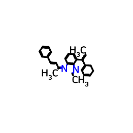 C/C=C(/C1=CC=CCC1)c1cccc(/N=C(C)\C=C\c2ccccc2)c1/N=C/C